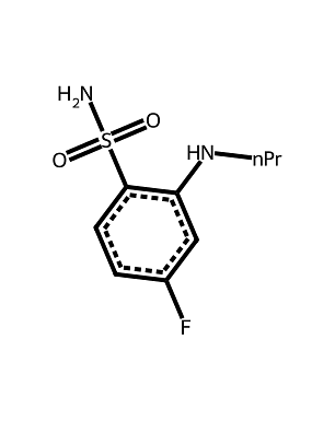 CCCNc1cc(F)ccc1S(N)(=O)=O